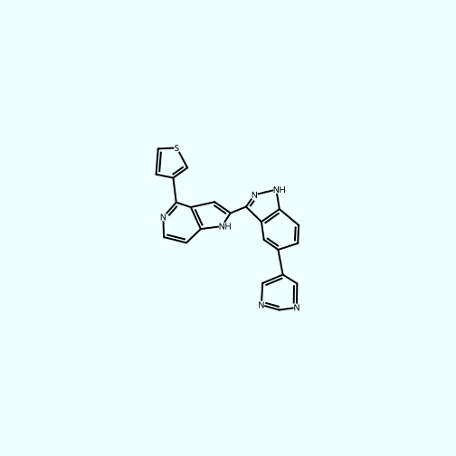 c1ncc(-c2ccc3[nH]nc(-c4cc5c(-c6ccsc6)nccc5[nH]4)c3c2)cn1